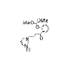 CCN1C=CCN(CCCC(=O)c2ccccc2OC(OC)OC)C1